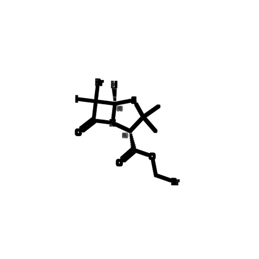 CC1(C)S[C@H]2N(C(=O)C2(Br)I)[C@H]1C(=O)OCBr